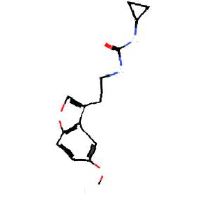 COc1ccc2occ(CCNC(=O)NC3CC3)c2c1